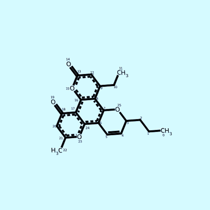 CCCC1C=Cc2c(c3c(CC)[c]c(=O)oc3c3c(=O)cc(C)oc23)O1